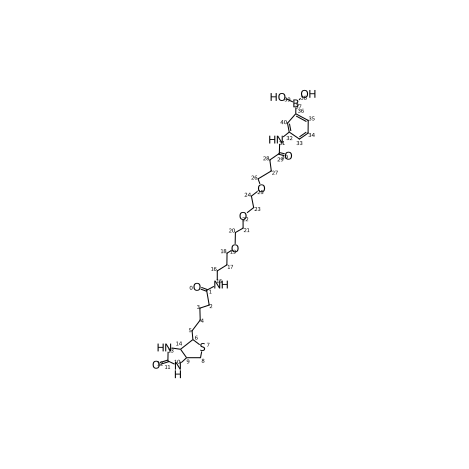 O=C(CCCCC1SCC2NC(=O)NC21)NCCCOCCOCCOCCCC(=O)Nc1cccc(B(O)O)c1